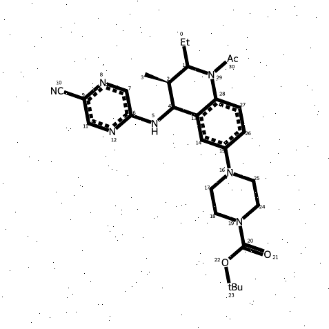 CCC1[C@H](C)C(Nc2cnc(C#N)cn2)c2cc(N3CCN(C(=O)OC(C)(C)C)CC3)ccc2N1C(C)=O